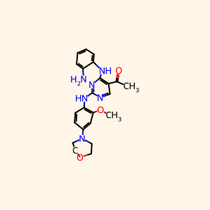 COc1cc(N2CCOCC2)ccc1Nc1ncc(C(C)=O)c(Nc2ccccc2N)n1